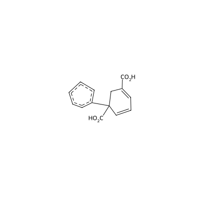 O=C(O)C1=CC=CC(C(=O)O)(c2ccccc2)C1